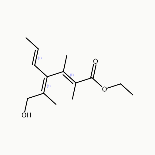 C/C=C/C(=C(/C)CO)C(/C)=C(\C)C(=O)OCC